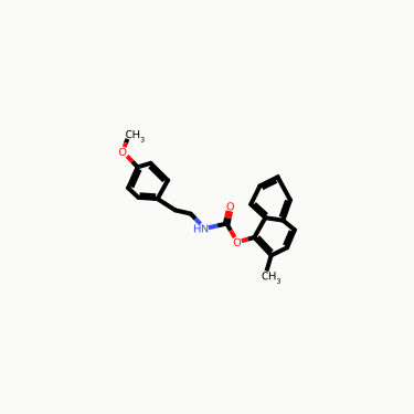 COc1ccc(CCNC(=O)Oc2c(C)ccc3ccccc23)cc1